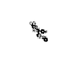 CN(C)C(=O)C1(C)COC(c2nc(-c3ccc(F)cc3)c(-c3ccnc(NCc4ccccc4)n3)[nH]2)OC1